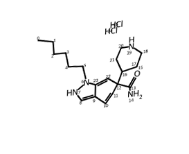 CCCCCCN1NC=C2C=CC(C(N)=O)(C3CCNCC3)C=C21.Cl.Cl